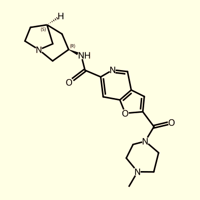 CN1CCN(C(=O)c2cc3cnc(C(=O)N[C@@H]4C[C@@H]5CCN(C5)C4)cc3o2)CC1